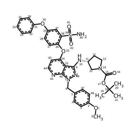 COc1ccc(Cn2nc(N[C@@H]3CCN(C(=O)OC(C)(C)C)C3)c3c(Oc4ccc(Oc5ccccc5)cc4S(N)(=O)=O)ccnc32)cc1